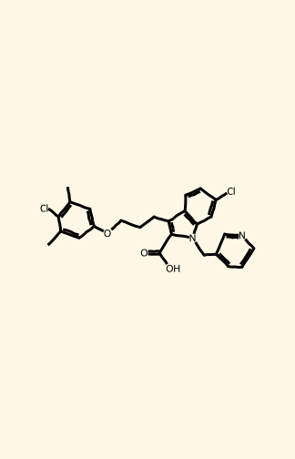 Cc1cc(OCCCc2c(C(=O)O)n(Cc3cccnc3)c3cc(Cl)ccc23)cc(C)c1Cl